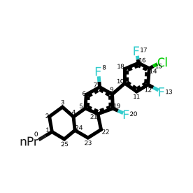 CCCC1CCC2c3cc(F)c(-c4cc(F)c(Cl)c(F)c4)c(F)c3CCC2C1